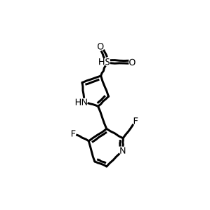 O=[SH](=O)c1c[nH]c(-c2c(F)ccnc2F)c1